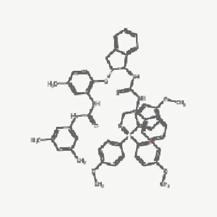 COc1ccc(P(=NC[C@@H](NC(=S)N[C@@H]2c3ccccc3C[C@H]2Oc2ccc(C)cc2NC(=O)Nc2cc(C)cc(C)c2)c2ccccc2)(c2ccc(OC)cc2)c2ccc(OC)cc2)cc1